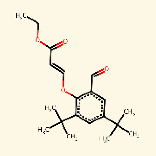 CCOC(=O)C=COc1c(C=O)cc(C(C)(C)C)cc1C(C)(C)C